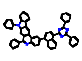 c1ccc(-c2nc(-c3ccccc3)nc(-c3ccc(-c4ccc5nc(-c6ccccc6)c6cc7c(cc6c5c4)c4ccccc4n7-c4ccccc4)c4ccccc34)n2)cc1